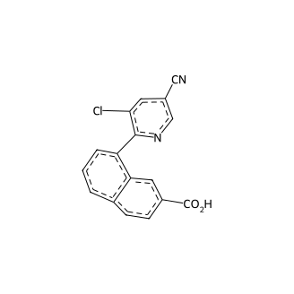 N#Cc1cnc(-c2cccc3ccc(C(=O)O)cc23)c(Cl)c1